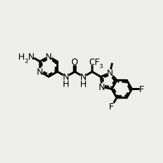 Cn1c(C(NC(=O)Nc2cnc(N)nc2)C(F)(F)F)nc2c(F)cc(F)cc21